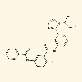 O=C(Nc1ccc(F)c(C(=O)Nc2cccc(-c3nncn3C(CF)CF)n2)c1)c1ccccc1